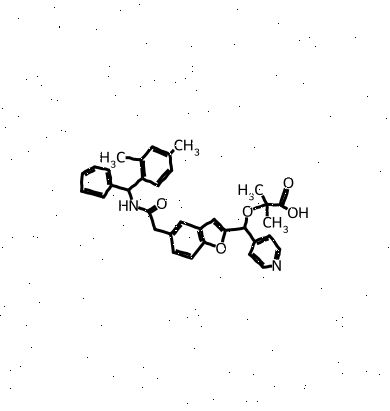 Cc1ccc(C(NC(=O)Cc2ccc3oc(C(OC(C)(C)C(=O)O)c4ccncc4)cc3c2)c2ccccc2)c(C)c1